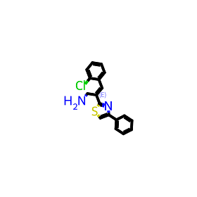 NC/C(=C\c1ccccc1Cl)c1nc(-c2ccccc2)cs1